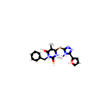 Cc1c(Sc2nnc(-c3ccco3)n2C)[nH]c(=O)n(Cc2ccccc2)c1=O